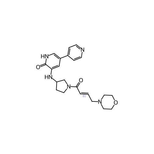 O=C(/C=C/CN1CCOCC1)N1CCC(Nc2cc(-c3ccncc3)c[nH]c2=O)C1